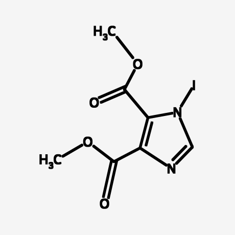 COC(=O)c1ncn(I)c1C(=O)OC